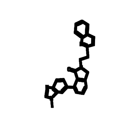 Cn1cnc2ccc(-c3cccc4c3C(=O)N(CCc3ccc5ccccc5n3)C4)cc21